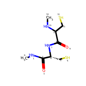 CNC(=O)[C@@H](CS)NC(=O)C(CS)NC